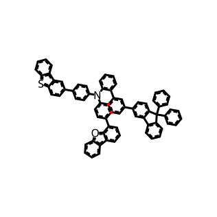 c1ccc(C2(c3ccccc3)c3ccccc3-c3cc(-c4cccc(-c5ccccc5N(c5ccc(-c6ccc7sc8ccccc8c7c6)cc5)c5ccc(-c6cccc7c6oc6ccccc67)cc5)c4)ccc32)cc1